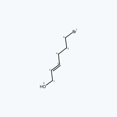 OCC=CCCCBr